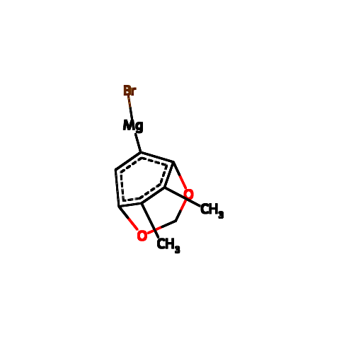 Cc1c2c[c]([Mg][Br])c(c1C)OCO2